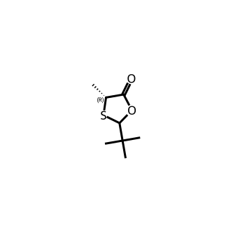 C[C@H]1SC(C(C)(C)C)OC1=O